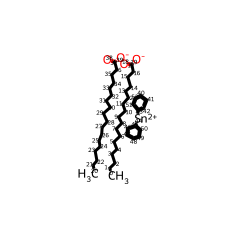 CCCCCCCCCCCCCCCCCC(=O)[O-].CCCCCCCCCCCCCCCCCC(=O)[O-].c1cc[c]([Sn+2][c]2ccccc2)cc1